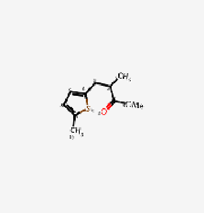 COC(=O)C(C)Cc1ccc(C)s1